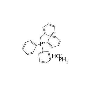 P.[OH-].c1ccc(C[P+](c2ccccc2)(c2ccccc2)c2ccccc2)cc1